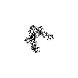 c1ccc(-c2ccc(-n3c4ccccc4c4c5c6c7ccccc7ccc6n(-c6nc(-c7ccc8c(c7)oc7ccccc78)c7ccccc7n6)c5ccc43)cc2)cc1